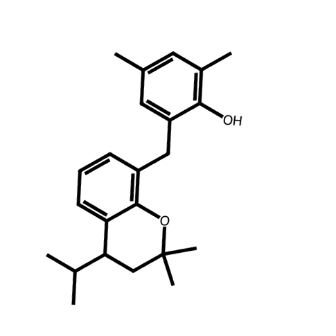 Cc1cc(C)c(O)c(Cc2cccc3c2OC(C)(C)CC3C(C)C)c1